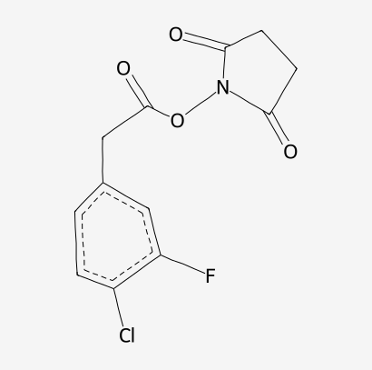 O=C(Cc1ccc(Cl)c(F)c1)ON1C(=O)CCC1=O